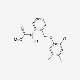 COC(=O)N(O)c1ccccc1COc1cc(C)c(C)cc1Cl